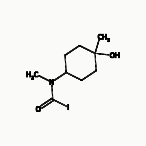 CN(C(=O)I)C1CCC(C)(O)CC1